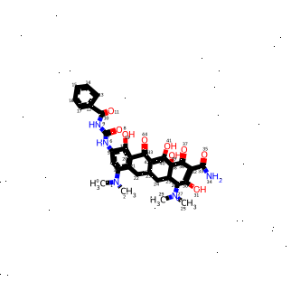 CN(C)c1cc(NC(=O)NC(=O)c2ccccc2)c(O)c2c1CC1CC3C(N(C)C)C(O)=C(C(N)=O)C(=O)C3(O)C(O)=C1C2=O